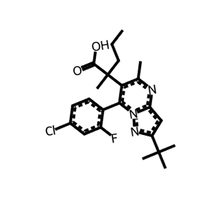 CCCC(C)(C(=O)O)c1c(C)nc2cc(C(C)(C)C)nn2c1-c1ccc(Cl)cc1F